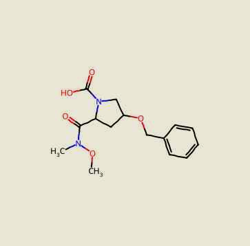 CON(C)C(=O)C1CC(OCc2ccccc2)CN1C(=O)O